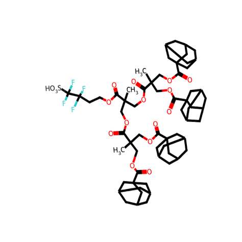 CC(COC(=O)C(C)(COC(=O)C12CC3CC(CC(C3)C1)C2)COC(=O)C12CC3CC(CC(C3)C1)C2)(COC(=O)C(C)(COC(=O)C12CC3CC(CC(C3)C1)C2)COC(=O)C12CC3CC(CC(C3)C1)C2)C(=O)OCCC(F)(F)C(F)(F)S(=O)(=O)O